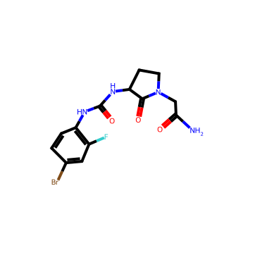 NC(=O)CN1CCC(NC(=O)Nc2ccc(Br)cc2F)C1=O